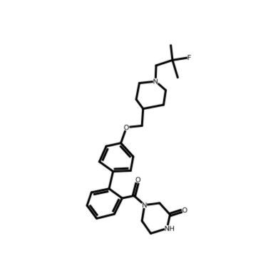 CC(C)(F)CN1CCC(COc2ccc(-c3ccccc3C(=O)N3CCNC(=O)C3)cc2)CC1